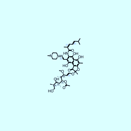 CO[C@@H](/C=C/O[C@@]1(C)Oc2c(C)c(O)c3c(O)c(NC(=O)/C(C)=C\C=C\C(C)C)c(/C=N/N4CCN(C)CC4)c(O)c3c2C1=O)[C@@H](C)[C@@H](OC(C)=O)[C@H](C)[C@H](O)[C@H](C)CO